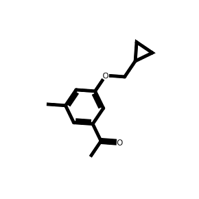 CC(=O)c1cc(C)cc(OCC2CC2)c1